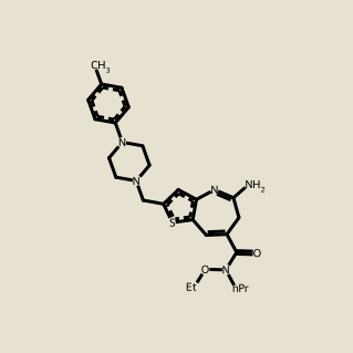 CCCN(OCC)C(=O)C1=Cc2sc(CN3CCN(c4ccc(C)cc4)CC3)cc2N=C(N)C1